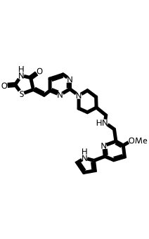 COc1ccc(-c2ccc[nH]2)nc1CNCC1CCN(c2nccc(C=C3SC(=O)NC3=O)n2)CC1